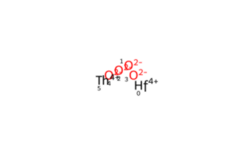 [Hf+4].[O-2].[O-2].[O-2].[O-2].[Th+4]